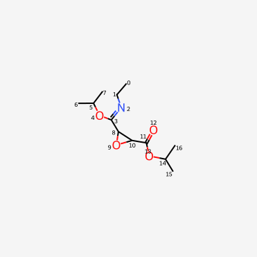 CCN=C(OC(C)C)C1OC1C(=O)OC(C)C